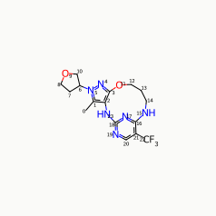 Cc1c2c(nn1C1CCOC1)OCCCNc1nc(ncc1C(F)(F)F)N2